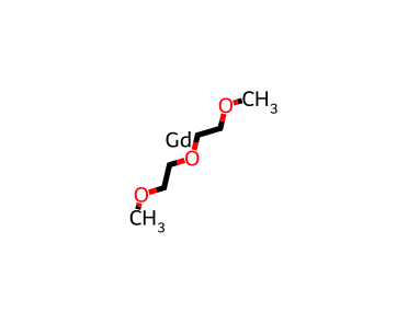 COCCOCCOC.[Gd]